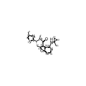 Cc1csc(CN(C)C(=O)c2c(C)oc3ncnc(NC4(C)CC4)c23)n1